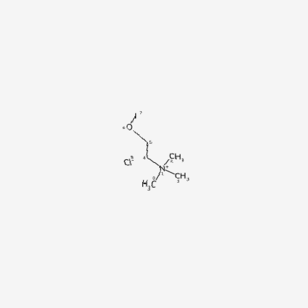 C[N+](C)(C)CCOI.[Cl-]